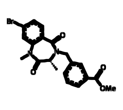 COC(=O)c1cccc(CN2C(=O)c3ccc(Br)cc3N(C)C(=O)[C@H]2C)c1